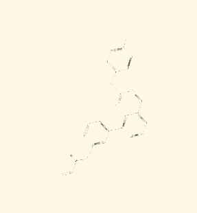 C=CC(=O)Nc1cccc(-c2cccc3cnc(Nc4ccc(O)cc4)nc23)c1